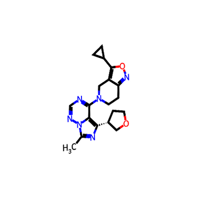 Cc1nc([C@@H]2CCOC2)c2c(N3CCc4noc(C5CC5)c4C3)ncnn12